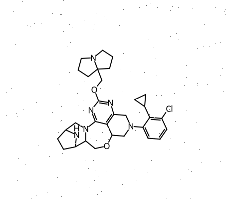 Clc1cccc(N2Cc3nc(OCC45CCCN4CCC5)nc4c3C(C2)OCC2C3CCC(CN42)N3)c1C1CC1